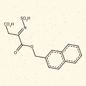 O=C(O)CC(=NS(=O)(=O)O)C(=O)OCc1ccc2ccccc2c1